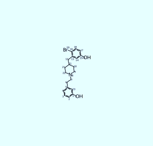 Oc1cccc(CCN2CCC(Cc3cc(O)ccc3Br)CC2)c1